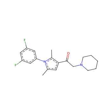 Cc1cc(C(=O)CN2CCCCC2)c(C)n1-c1cc(F)cc(F)c1